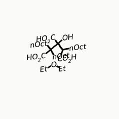 CCCCCCCCC(C(=O)O)C(O)(C(=O)O)C(CCCCCCCC)(CCCCCCCC)C(=O)O.CCOCC